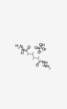 NNC(=O)CCCCC(=O)NN.[O-][I+3]([O-])([O-])O